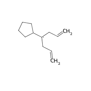 C=CC[C](CC=C)C1CCCC1